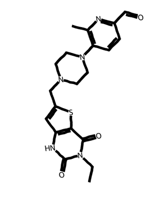 CCn1c(=O)[nH]c2cc(CN3CCN(c4ccc(C=O)nc4C)CC3)sc2c1=O